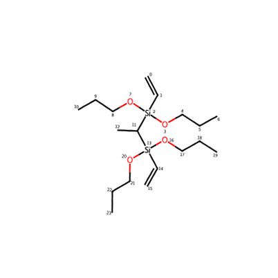 C=C[Si](OCCC)(OCCC)C(C)[Si](C=C)(OCCC)OCCC